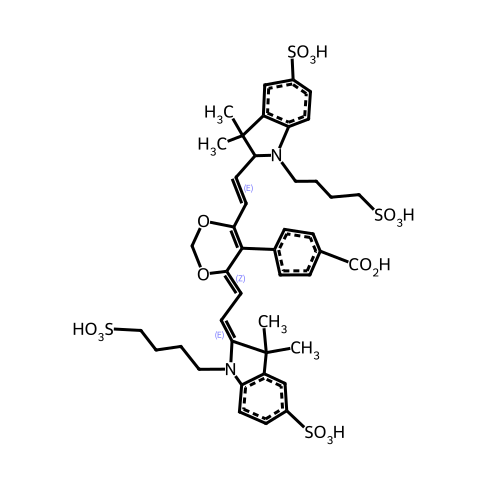 CC1(C)/C(=C\C=C2/OCOC(/C=C/C3N(CCCCS(=O)(=O)O)c4ccc(S(=O)(=O)O)cc4C3(C)C)=C2c2ccc(C(=O)O)cc2)N(CCCCS(=O)(=O)O)c2ccc(S(=O)(=O)O)cc21